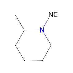 [C-]#[N+]N1CCCCC1C